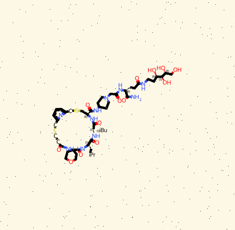 CC[C@H](C)[C@@H]1NC(=O)[C@H](CC(C)C)NC(=O)C2(CCOCC2)NC(=O)CCSCc2cccc(n2)CSC[C@@H](C(=O)NC2CCN(CC(=O)N[C@H](CCC(=O)NCC[C@@H](O)[C@H](O)[C@H](O)CO)C(N)=O)CC2)NC1=O